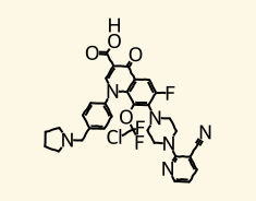 N#Cc1cccnc1N1CCN(c2c(F)cc3c(=O)c(C(=O)O)cn(-c4ccc(CN5CCCC5)cc4)c3c2OC(F)(F)Cl)CC1